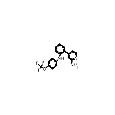 Nc1cc(-c2ccccc2Nc2ccc(OC(F)(F)F)cc2)ccn1